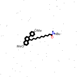 CCCCN(C)C(=O)CCCCCCCCCCc1c(-c2ccc(OC)cc2)ccc2cc(OC)ccc12